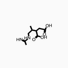 CC(=N)NCC(C)C(CC(=O)O)C(=O)O